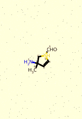 CC1(N)C=C[SH]([C]=O)C1